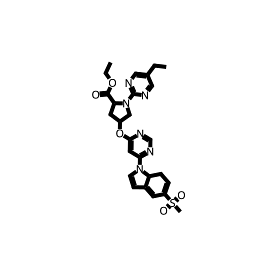 CCOC(=O)C1CC(Oc2cc(N3C=CC4=CC(S(C)(=O)=O)=CCC43)ncn2)CN1c1ncc(CC)cn1